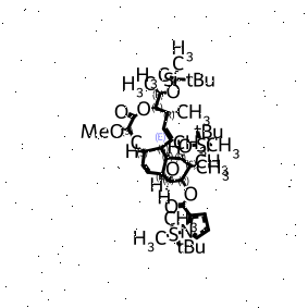 CO[C@H]1C[C@H]2C=C[C@H]3[C@H]4O[C@]2(/C(C)=C/[C@@H](C)[C@@H]([C@@H](C)O[Si](C)(C)C(C)(C)C)OC1=O)[C@@H]3[C@H](O[Si](C)(C)C(C)(C)C)[C@@H](C)[C@H]4OC(=O)c1cccn1S(C)(C)C(C)(C)C